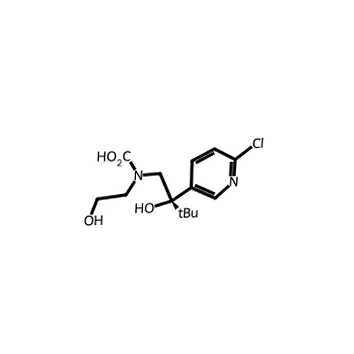 CC(C)(C)[C@@](O)(CN(CCO)C(=O)O)c1ccc(Cl)nc1